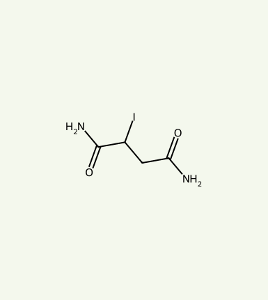 NC(=O)CC(I)C(N)=O